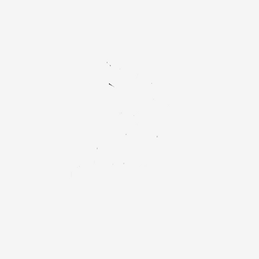 NC[C@H]1CCc2cccc(-c3ccc(C(F)(F)F)cc3Cl)c2O1